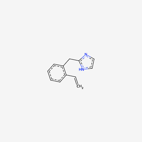 C=Cc1ccccc1Cc1ncc[nH]1